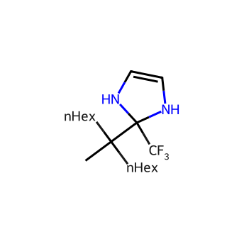 CCCCCCC(C)(CCCCCC)C1(C(F)(F)F)NC=CN1